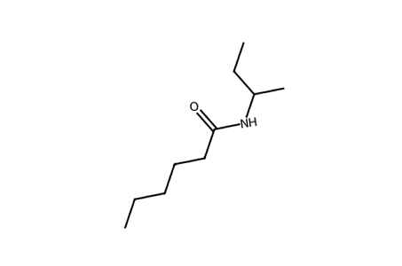 CCCCCC(=O)NC(C)CC